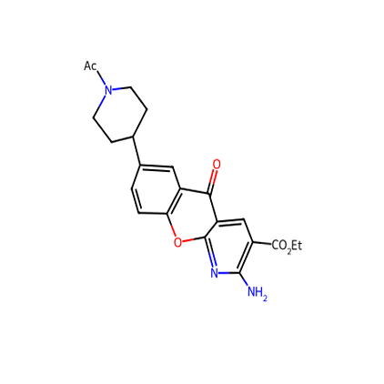 CCOC(=O)c1cc2c(=O)c3cc(C4CCN(C(C)=O)CC4)ccc3oc2nc1N